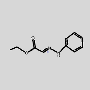 CCOC(=O)/C=N/Nc1ccccc1